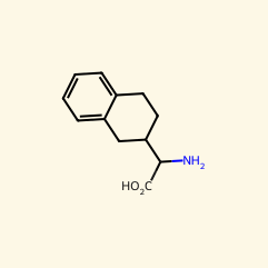 NC(C(=O)O)C1CCc2ccccc2C1